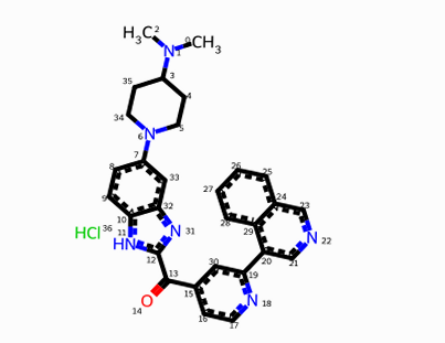 CN(C)C1CCN(c2ccc3[nH]c(C(=O)c4ccnc(-c5cncc6ccccc56)c4)nc3c2)CC1.Cl